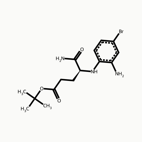 CC(C)(C)OC(=O)CC[C@H](Nc1ccc(Br)cc1N)C(N)=O